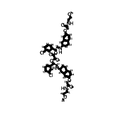 COCCNC(=O)COc1ccc2c(c1)CC(NC[C@H](OC(=O)C(=O)O[C@@H](CNC1CCc3ccc(OCC(=O)NCCOC)cc3C1)c1cccc(Cl)c1)c1cccc(Cl)c1)CC2